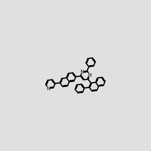 c1ccc(-c2nc(-c3ccc4cc(-c5cccnc5)ccc4c3)cc(-c3c(-c4ccccc4)ccc4ccccc34)n2)cc1